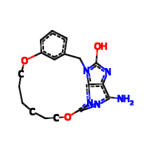 Nc1nc2nc3c1nc(O)n3Cc1cccc(c1)OCCCCCCO2